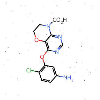 Nc1ccc(Cl)c(Oc2ncnc3c2OCCN3C(=O)O)c1